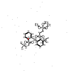 CCO[Si](CC[Si](C)(O[Si](C)(C)C)O[Si](O[Si](C)(C)O[Si](C)(C)C)(c1ccccc1)c1ccccc1)(OCC)OCC